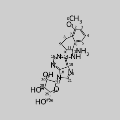 COc1cccc2c1CCC[C@]2(N)Nc1ncnc2c1ncn2[C@@H]1O[C@H](CO)[C@@H](O)[C@H]1O